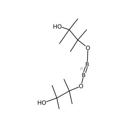 CC(C)(O)C(C)(C)O/B=B\OC(C)(C)C(C)(C)O